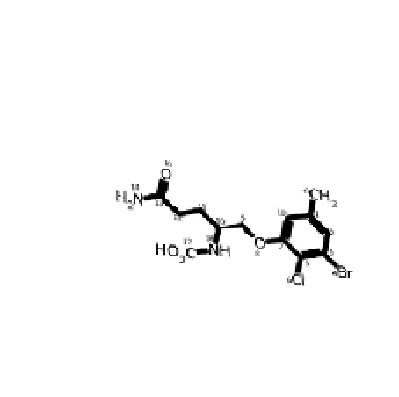 Cc1cc(Br)c(Cl)c(OC[C@H](CCC(N)=O)NC(=O)O)c1